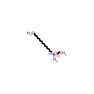 CCCCCCCCCCCCCCCCNC(C)OC(=O)CC